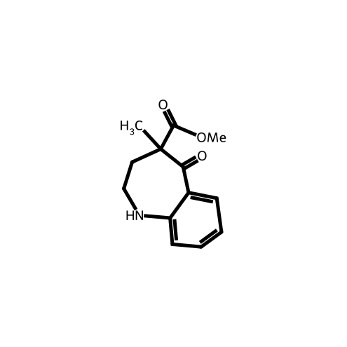 COC(=O)C1(C)CCNc2ccccc2C1=O